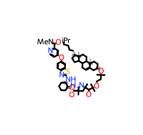 CNC(=O)c1cc(Oc2ccc3nc(N[C@H]4CCCC[C@@H]4OC(=O)C(C)(C)CC(C)(N)C(=O)C(C)(C)OCCC(C)(C)O[C@H]4CC[C@@]5(C)C(=CCC6C5CC[C@@]5(C)C6CC[C@@H]5CCCCC(C)C)C4)sc3c2)ccn1